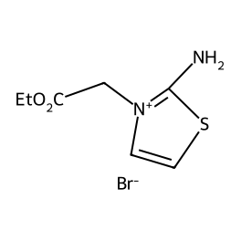 CCOC(=O)C[n+]1ccsc1N.[Br-]